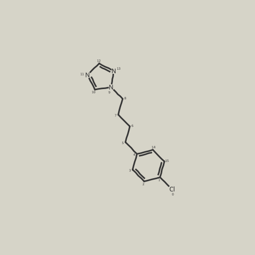 Clc1ccc(CCCCn2cncn2)cc1